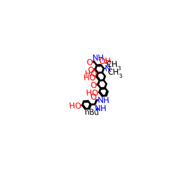 CCCCNC(C(=O)Nc1ccc2c(c1O)C(=O)C1=C(O)C3(O)C(=O)C(C(N)=O)=C(O)[C@@H](N(C)C)C3CC1C2)c1ccc(O)cc1